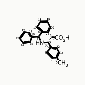 Cc1ccc([C@@H](CC(=O)O)NC(c2ccccc2)c2ccccc2)cc1